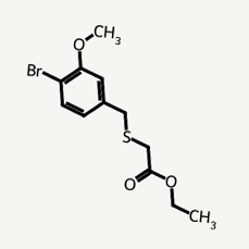 CCOC(=O)CSCc1ccc(Br)c(OC)c1